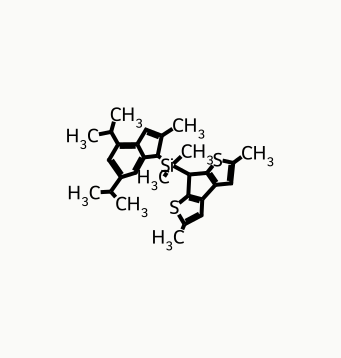 CC1=Cc2c(C(C)C)cc(C(C)C)cc2C1[Si](C)(C)C1c2sc(C)cc2-c2cc(C)sc21